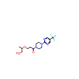 CC(CO)OCCC(=O)N1CCN(c2ncc(C(F)(F)F)cn2)CC1